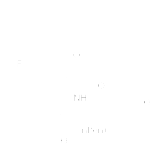 C=CCOC(=O)CCCCC.CCC1=CC(=O)NC1=O